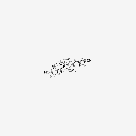 CO[C@H]1C[C@H]2[C@@H](CC[C@H]3C[C@](C)(O)CC[C@@]32C)[C@@H]2CC[C@H](C(=O)Cn3cc(C#N)cn3)[C@@]12C